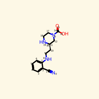 N#Cc1ccccc1NCC[C@@H]1CN(C(=O)O)CCN1